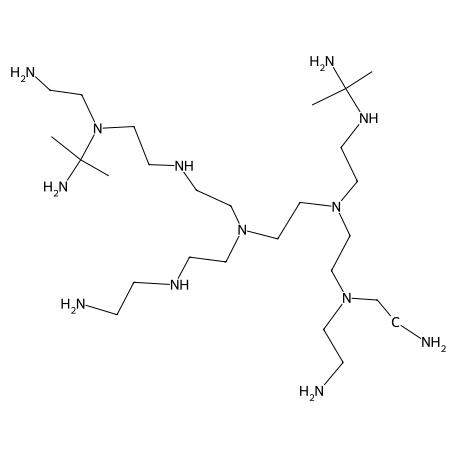 CC(C)(N)NCCN(CCN(CCN)CCN)CCN(CCNCCN)CCNCCN(CCN)C(C)(C)N